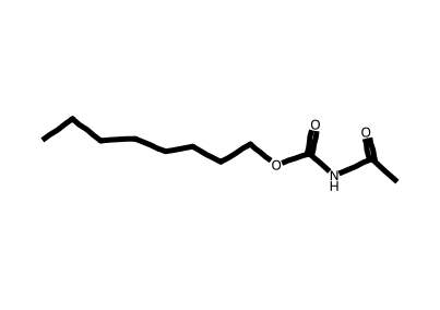 CCCCCCCCOC(=O)NC(C)=O